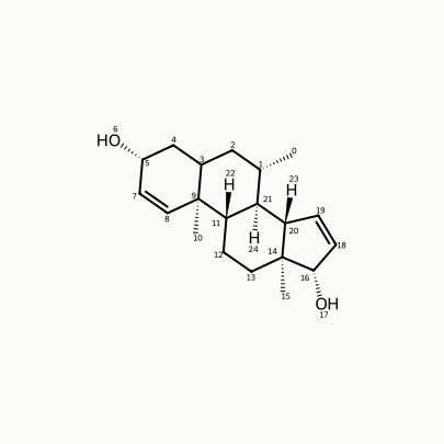 C[C@H]1CC2C[C@@H](O)C=C[C@]2(C)[C@H]2CC[C@]3(C)[C@@H](O)C=C[C@H]3[C@H]12